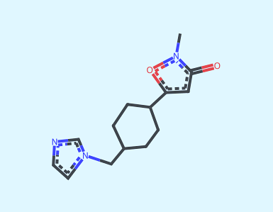 Cn1oc(C2CCC(Cn3ccnc3)CC2)cc1=O